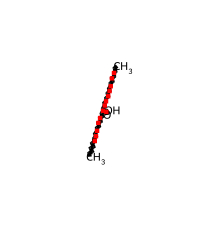 CCCCCCC=CCCCCCCCCCCC(CCCCCCCCCCCCCCCCCC)C(=O)O